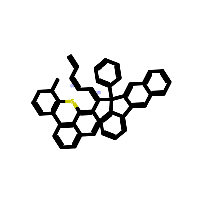 C=C/C=C\C=C(/c1ccc2cccc3c2c1SC1=C3C=CCC1C)C1(c2ccccc2)c2ccccc2-c2cc3ccccc3cc21